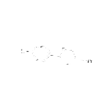 CCCC1CCC(c2ccc(CC)cc2)OC1